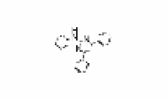 c1ccc(Nc2nc(-c3ccccc3)cc(-c3ccccc3)n2)cc1